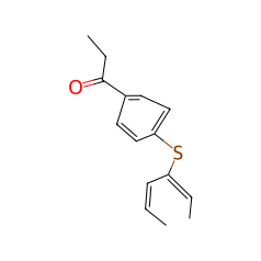 C/C=C\C(=C/C)Sc1ccc(C(=O)CC)cc1